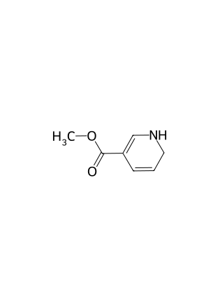 COC(=O)C1=CNCC=C1